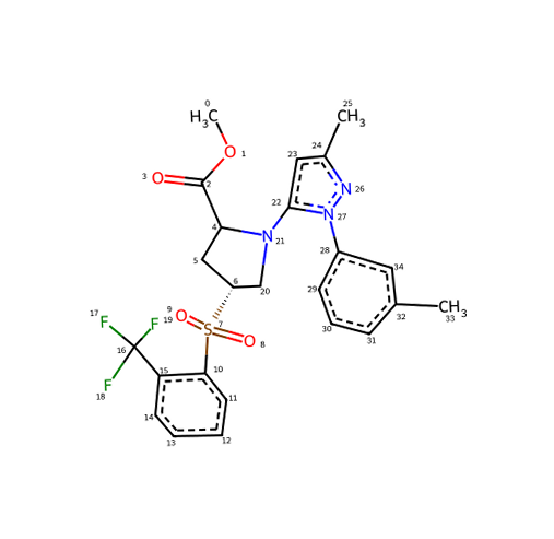 COC(=O)C1C[C@@H](S(=O)(=O)c2ccccc2C(F)(F)F)CN1c1cc(C)nn1-c1cccc(C)c1